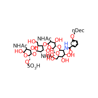 CCCCCCCCCCCOc1cccc(C(=O)N[C@@H]2C(O[C@H]3C(O)C(NC(C)=O)C(OC4C(CO)O[C@@H](O[C@H]5C(O)C(NC(C)=O)C(O)O[C@H]5COS(=O)(=O)O)[C@@H](NC(C)=O)[C@H]4O)O[C@H]3CO)OC(CO)[C@@H](O)[C@@H]2O)c1